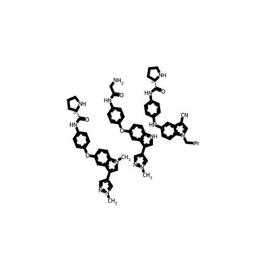 CC(C)Cn1cc(C#N)c2cc(Nc3ccc(NC(=O)[C@@H]4CCCN4)cc3)ccc21.Cn1cc(-c2c[nH]c3ccc(Oc4ccc(NC(=O)CN)cc4)cc23)cn1.Cn1cc(-c2cn(C)c3ccc(Oc4ccc(NC(=O)[C@@H]5CCCN5)cc4)cc23)cn1